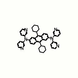 c1cncc(N(c2cccnc2)c2ccc3c(C4CCCCC4)c4cc(N(c5cccnc5)c5cccnc5)ccc4c(C4CCCCC4)c3c2)c1